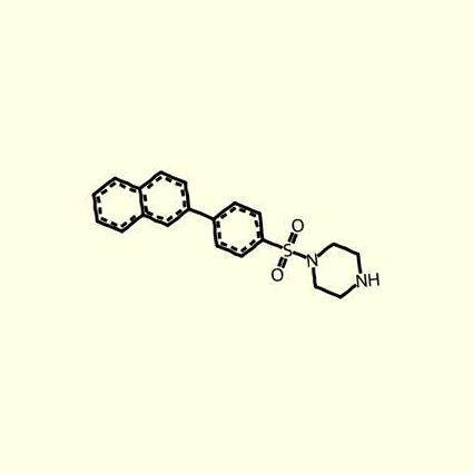 O=S(=O)(c1ccc(-c2ccc3ccccc3c2)cc1)N1CCNCC1